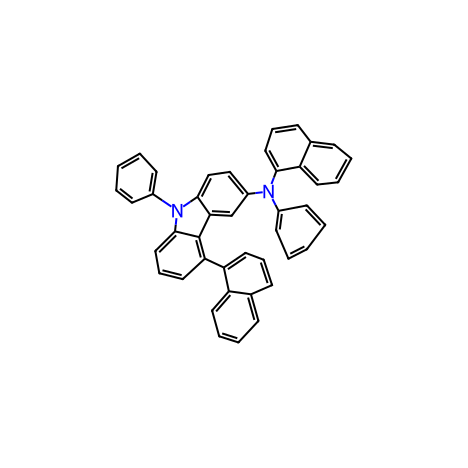 c1ccc(N(c2ccc3c(c2)c2c(-c4cccc5ccccc45)cccc2n3-c2ccccc2)c2cccc3ccccc23)cc1